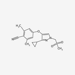 Cc1cc(Oc2cn(CS(C)(=O)=O)nc2C2CC2)cc(C)c1C#N